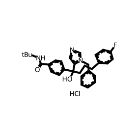 CC(C)(C)NC(=O)c1ccc(C(O)(CCCc2ccc(F)cc2)c2cncn2Cc2ccccc2)cc1.Cl